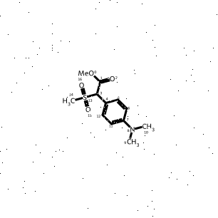 COC(=O)C(c1ccc(N(C)C)cc1)S(C)(=O)=O